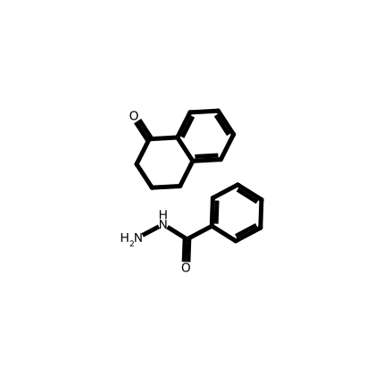 NNC(=O)c1ccccc1.O=C1CCCc2ccccc21